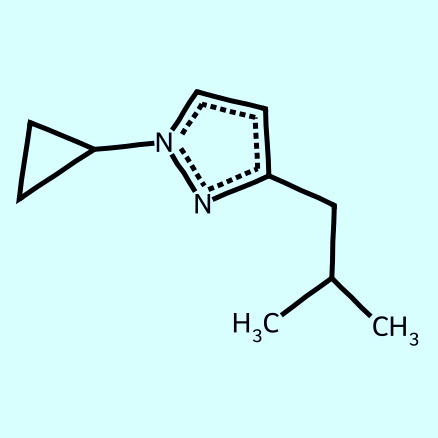 CC(C)Cc1ccn(C2CC2)n1